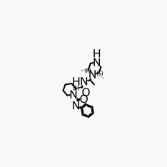 CC(NC(=O)[C@@H]1CCCCN1c1nc2ccccc2o1)N1[C@H](C)CNC[C@@H]1C